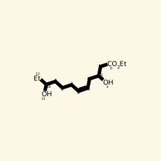 CCOC(=O)CC(O)C/C=C\CCCC(O)CC